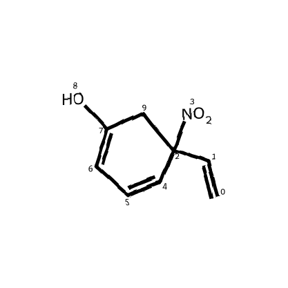 C=CC1([N+](=O)[O-])C=CC=C(O)C1